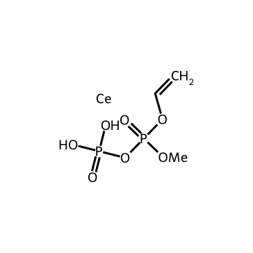 C=COP(=O)(OC)OP(=O)(O)O.[Ce]